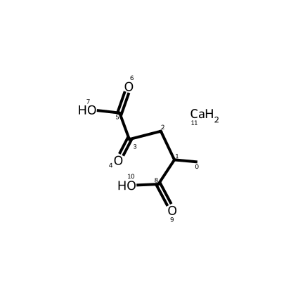 CC(CC(=O)C(=O)O)C(=O)O.[CaH2]